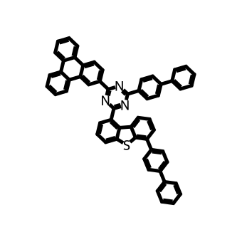 c1ccc(-c2ccc(-c3nc(-c4ccc5c6ccccc6c6ccccc6c5c4)nc(-c4cccc5sc6c(-c7ccc(-c8ccccc8)cc7)cccc6c45)n3)cc2)cc1